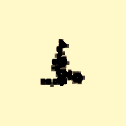 CCOC(=O)c1cnn2c(N(C)Cc3ccccc3)cc(Nc3cccn(CCOC4CC4)c3=O)nc12